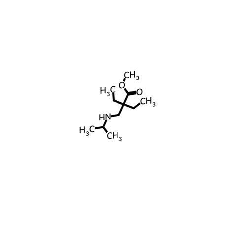 CCC(CC)(CNC(C)C)C(=O)OC